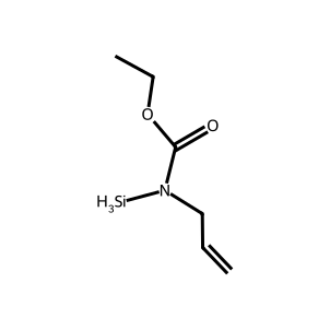 C=CCN([SiH3])C(=O)OCC